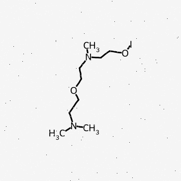 CN(C)CCOCCN(C)CCOI